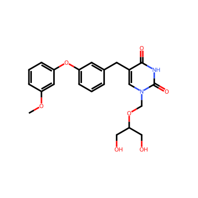 COc1cccc(Oc2cccc(Cc3cn(COC(CO)CO)c(=O)[nH]c3=O)c2)c1